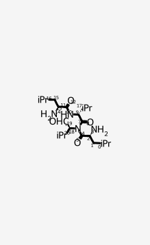 CC(C)C[C@@H](N)C(=O)N(C(=O)[C@H](NC(=O)[C@@H](N)CC(C)C)C(C)C)[C@H]([C]=O)C(C)C